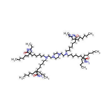 CCCCCCC(CCCC)(CCCCCCN(CCCCCCC(CCCC)(CCCCCC)C(N)=O)CCN1CCN(CCN(CCCCCCC(CCCC)(CCCCCC)C(N)=O)CCCCCCC(CCCC)(CCCCCC)C(N)=O)CC1)C(N)=O